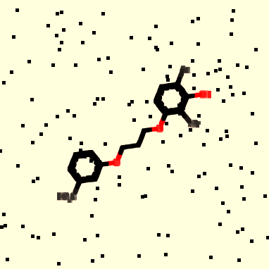 CCCc1c(OCCCOc2cccc(C(=O)O)c2)ccc(C(C)=O)c1O